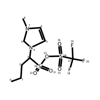 CCCC(N1C=CN(C)C1)S(=O)(=O)OS(=O)(=O)C(F)(F)F